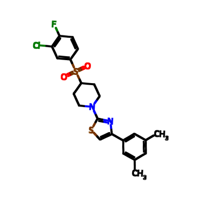 Cc1cc(C)cc(-c2csc(N3CCC(S(=O)(=O)c4ccc(F)c(Cl)c4)CC3)n2)c1